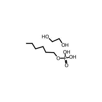 CCCCCCOP(=O)(O)O.OCCO